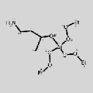 CCOO[Si](OOCC)(OOCC)OC(C)CCN